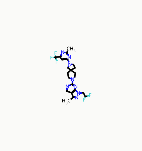 Cc1nc(N2CCC3(CCN(c4ncc5c(C)nn(CC(F)F)c5n4)CC3)C2)cc(C(F)(F)F)n1